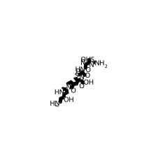 CNCCC(O)C1CC(N2CCC(=CC3=C(C(=O)O)N4C(=O)[C@@H](NC(=O)C(=NO)c5csc(N)n5)[C@H]4SC3)C2=O)CN1